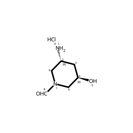 Cl.N[C@@H]1C[C@@H](O)CN(C=O)C1